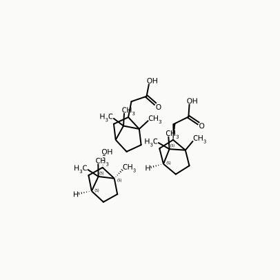 CC1(C)C2CCC1(C)C(CC(=O)O)C2.CC1(C)[C@H]2CCC1(C)[C@H](CC(=O)O)C2.CC1(C)[C@H]2CC[C@]1(C)[C@@H](O)C2